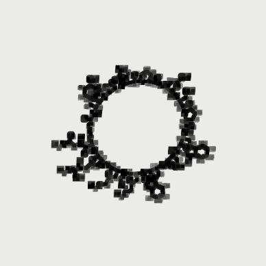 CCCC[C@H]1C(=O)N(C)[C@@H](CCCC)C(=O)N[C@@H](CCCNC(=N)N)C(=O)NC(C(=O)NCC(N)=O)CSCC(=O)N[C@@H](Cc2ccc(O)cc2)C(=O)N(C)[C@@H](C)C(=O)N[C@@H](CC(N)=O)C(=O)N2CCC[C@H]2C(=O)N[C@@H](CCO)C(=O)N[C@@H](CO)C(=O)N2CCC[C@H]2C(=O)N[C@@H](Cc2c[nH]c3ccccc23)C(=O)N[C@@H](CO)C(=O)N[C@@H](Cc2csc3ccccc23)C(=O)N1C